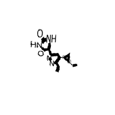 C=Cc1nnc(-c2c[nH]c(=O)[nH]c2=O)cc1[C@H]1C[C@@H]1CC